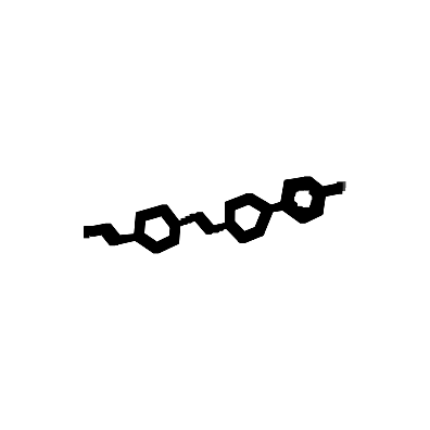 FC=C[C@H]1CC[C@H](CC[C@H]2CC[C@H](c3ccc(F)cc3)CC2)CC1